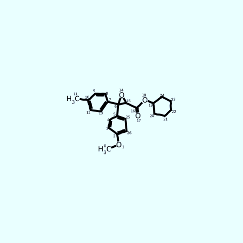 COc1ccc(C2(c3ccc(C)cc3)OC2C(=O)OC2CCCCC2)cc1